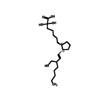 CCCCCC(C=C[C@H]1CCC[C@@H]1CCCCCC(O)(O)C(=O)O)CO